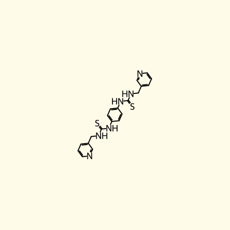 S=C(NCc1cccnc1)Nc1ccc(NC(=S)NCc2cccnc2)cc1